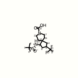 CC(C)(C)[S+]([O-])N[C@@H]1CC(C(F)(F)F)CC12CCN(C(=O)O)CC2